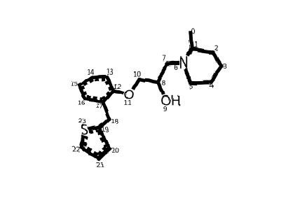 CC1CCCCN1CC(O)COc1ccccc1Cc1cccs1